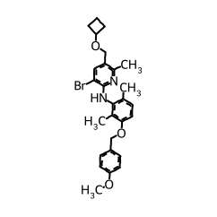 COc1ccc(COc2ccc(C)c(Nc3nc(C)c(COC4CCC4)cc3Br)c2C)cc1